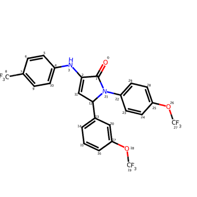 O=C1C(Nc2ccc(C(F)(F)F)cc2)=CC(c2cccc(OC(F)(F)F)c2)N1c1ccc(OC(F)(F)F)cc1